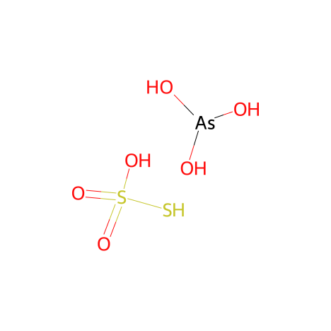 O=S(=O)(O)S.O[As](O)O